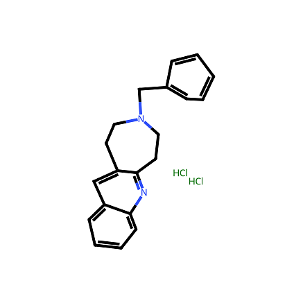 Cl.Cl.c1ccc(CN2CCc3cc4ccccc4nc3CC2)cc1